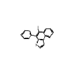 Ic1c(-c2ccccc2)c2sccc2c2ccccc12